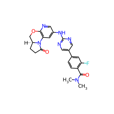 CN(C)C(=O)c1ccc(-c2cnc(Nc3cnc4c(c3)N3C(=O)CC[C@H]3CO4)nc2)cc1F